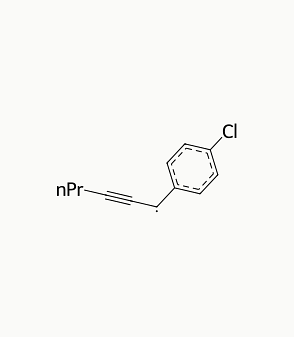 CCCC#C[CH]c1ccc(Cl)cc1